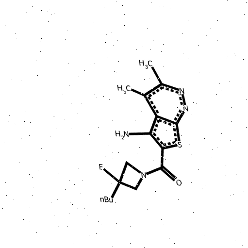 CCCCC1(F)CN(C(=O)c2sc3nnc(C)c(C)c3c2N)C1